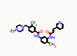 CCN1CCN(Cc2ccc(C(=O)Nc3ccc(C)c(NC(=O)/C=C/c4cccnc4)c3)cc2C(F)(F)F)CC1